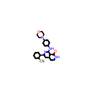 N#Cc1ccccc1-c1cc2cc[nH]c(=O)c2c(Nc2ccc(N3CCOCC3)cc2)n1